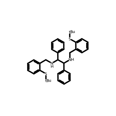 CC(C)(C)Sc1ccccc1CNC(c1ccccc1)C(NCc1ccccc1SC(C)(C)C)c1ccccc1